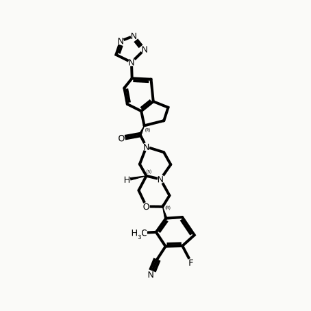 Cc1c([C@@H]2CN3CCN(C(=O)[C@@H]4CCc5cc(-n6cnnn6)ccc54)C[C@H]3CO2)ccc(F)c1C#N